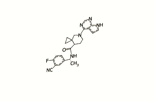 C[C@@H](NC(=O)C1CCN(c2ncnc3[nH]ccc23)CC12CC2)c1ccc(F)c(C#N)c1